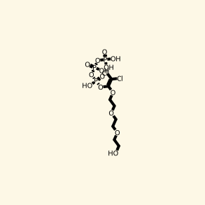 O=P(O)(O)OP(=O)(O)OP(=O)(O)OC(OCCOCCOCCO)=C(Cl)Cl